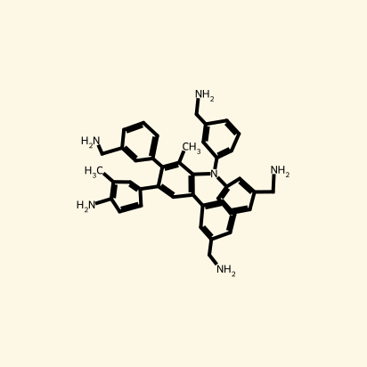 Cc1cc(-c2cc(-c3cccc(CN)c3)c(N(c3cccc(CN)c3)c3cccc(CN)c3)c(C)c2-c2cccc(CN)c2)ccc1N